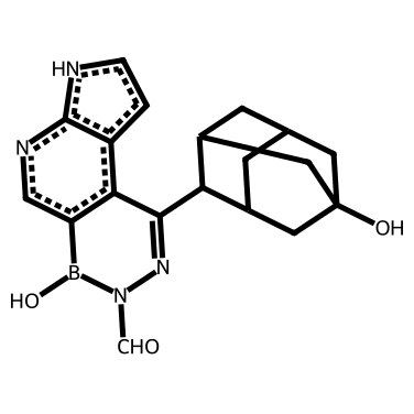 O=CN1N=C(C2C3CC4CC2CC(O)(C4)C3)c2c(cnc3[nH]ccc23)B1O